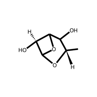 C[C@@H]1OC2OC(C1O)[C@@H]2O